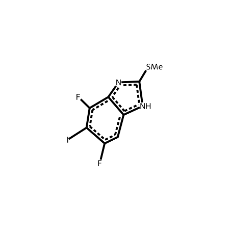 CSc1nc2c(F)c(I)c(F)cc2[nH]1